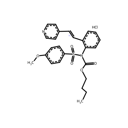 CCCCOC(=O)N(c1ccccc1/C=C/c1ccncc1)S(=O)(=O)c1ccc(OC)cc1.Cl